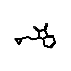 O=C1C(=O)N(CCC2CC2)C2CC=CC=C12